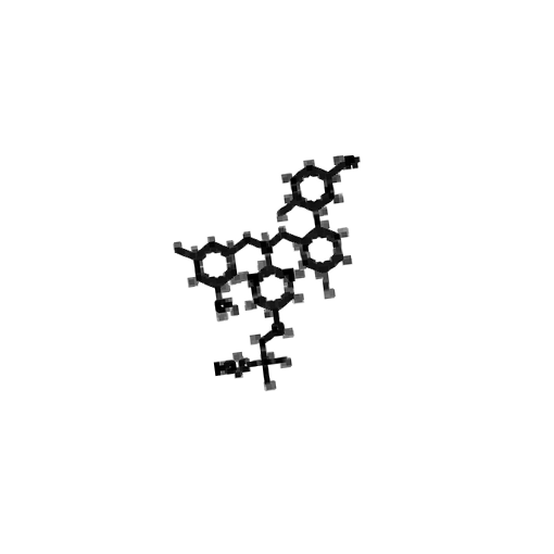 Cc1cc(CN(Cc2cc(C)ccc2-c2cc(C(C)C)ccc2C)c2ncc(OCC(C)(C)C(=O)O)cn2)cc(C(F)(F)F)c1